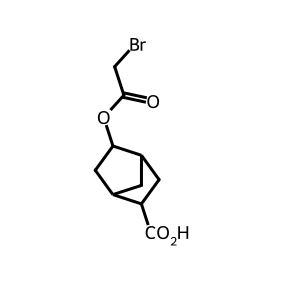 O=C(CBr)OC1CC2CC1CC2C(=O)O